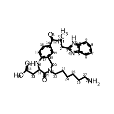 CN(Cc1nc2ccccc2[nH]1)C(=O)c1ccc2c(c1)CN(CCCCCCN)C(=O)C(CC(=O)O)N2